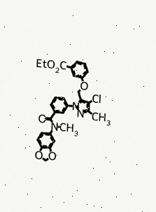 CCOC(=O)c1cccc(OCc2c(Cl)c(C)nn2-c2cccc(C(=O)N(C)c3ccc4c(c3)OCO4)c2)c1